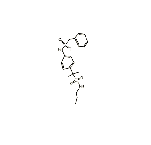 CCCNS(=O)(=O)C(C)(C)c1ccc(NS(=O)(=O)Cc2ccccc2)cc1